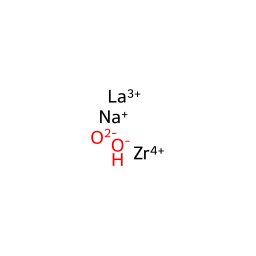 [La+3].[Na+].[O-2].[OH-].[Zr+4]